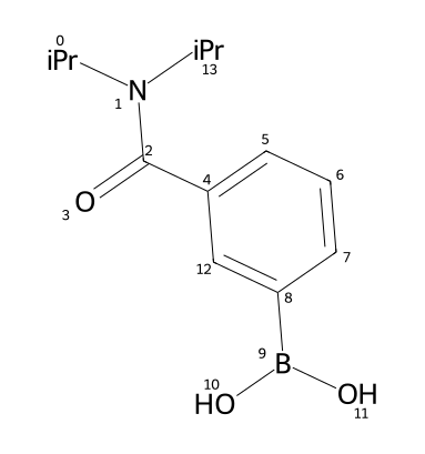 CC(C)N(C(=O)c1cccc(B(O)O)c1)C(C)C